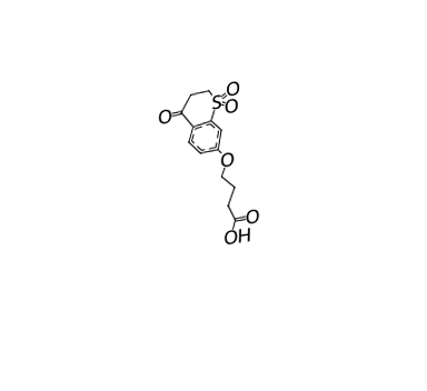 O=C(O)CCCOc1ccc2c(c1)S(=O)(=O)CCC2=O